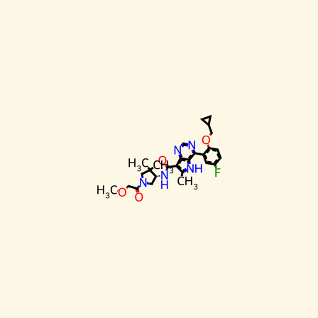 COCC(=O)N1C[C@@H](NC(=O)c2c(C)[nH]c3c(-c4cc(F)ccc4OCC4CC4)ncnc23)C(C)(C)C1